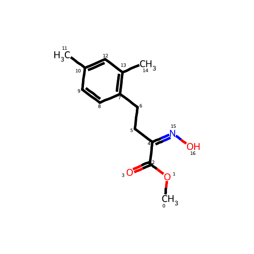 COC(=O)C(CCc1ccc(C)cc1C)=NO